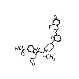 CC[C@H](c1nc2ccc(C(=O)O)cc2n1C[C@@H]1CCO1)N1CCC(c2cccc(OCc3ccc(Cl)cc3F)n2)CC1